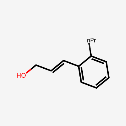 CCCc1ccccc1/C=C/CO